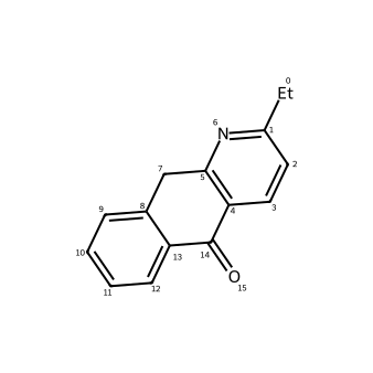 CCc1ccc2c(n1)Cc1ccccc1C2=O